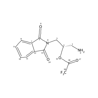 NC[C@@H](CN1C(=O)c2ccccc2C1=O)OC(=O)C(F)(F)F